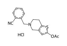 CC(=O)Oc1cc2c(s1)CCN(Cc1ccccc1C#N)C2.Cl